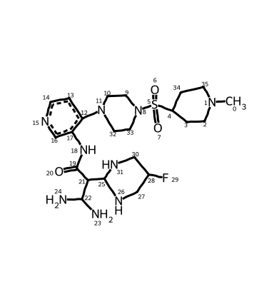 CN1CCC(S(=O)(=O)N2CCN(c3ccncc3NC(=O)C(C(N)N)C3NCC(F)CN3)CC2)CC1